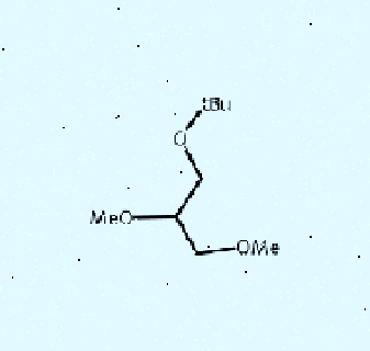 COCC(COC(C)(C)C)OC